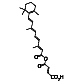 CC1=C(/C=C/C(C)=C/C=C/C(C)=C/C(=O)OC(=O)/C=C/C(=O)O)C(C)(C)CCC1